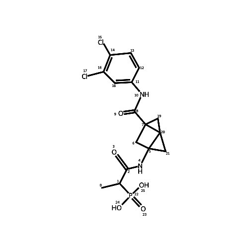 CC(C(=O)NC12CC3(C(=O)Nc4ccc(Cl)c(Cl)c4)CC13C2)P(=O)(O)O